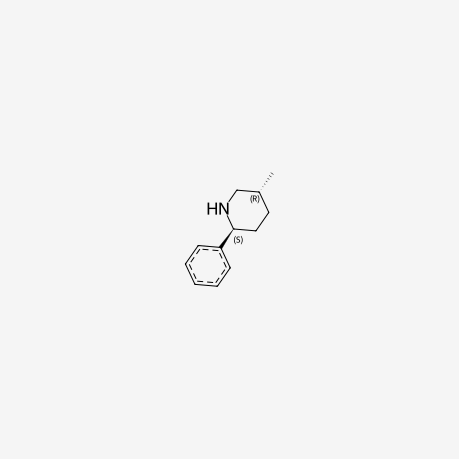 C[C@@H]1CC[C@@H](c2ccccc2)NC1